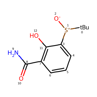 CC(C)(C)[S+]([O-])c1cccc(C(N)=O)c1O